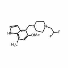 COc1cc(C)c2[nH]ccc2c1CN1CCN(CC(F)F)CC1